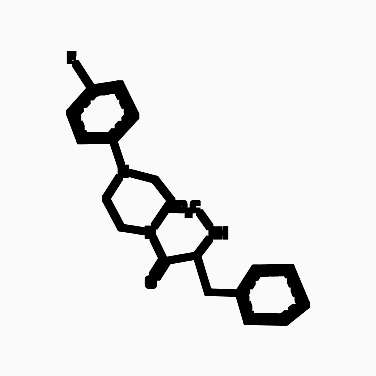 O=C(O)NC(Cc1ccccc1)C(=O)N1CCN(c2ccc(F)cc2)CC1